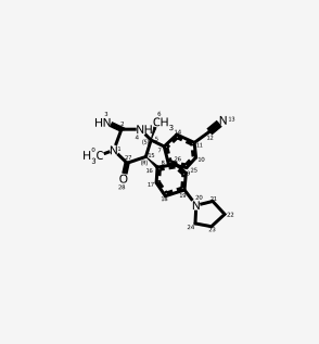 CN1C(=N)N[C@](C)(c2cccc(C#N)c2)[C@@H](c2ccc(N3CCCC3)cc2)C1=O